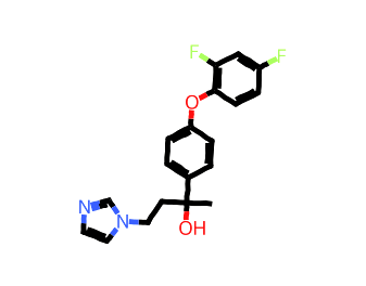 CC(O)(CCn1ccnc1)c1ccc(Oc2ccc(F)cc2F)cc1